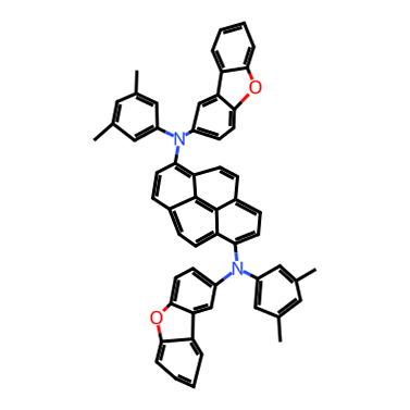 Cc1cc(C)cc(N(c2ccc3oc4ccccc4c3c2)c2ccc3ccc4c(N(c5cc(C)cc(C)c5)c5ccc6oc7ccccc7c6c5)ccc5ccc2c3c54)c1